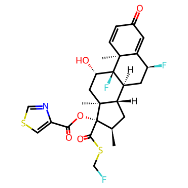 C[C@@H]1C[C@H]2[C@@H]3C[C@H](F)C4=CC(=O)C=C[C@]4(C)[C@@]3(F)[C@@H](O)C[C@]2(C)[C@]1(OC(=O)c1cscn1)C(=O)SCF